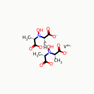 C[C@@H](C(=O)[O-])N(O)[C@@H](C)C(=O)[O-].C[C@@H](C(=O)[O-])N(O)[C@@H](C)C(=O)[O-].[V+4]